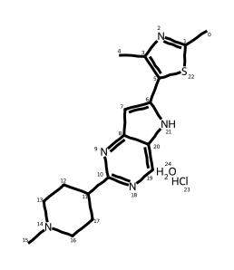 Cc1nc(C)c(-c2cc3nc(C4CCN(C)CC4)ncc3[nH]2)s1.Cl.O